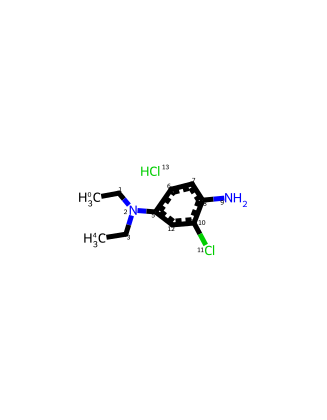 CCN(CC)c1ccc(N)c(Cl)c1.Cl